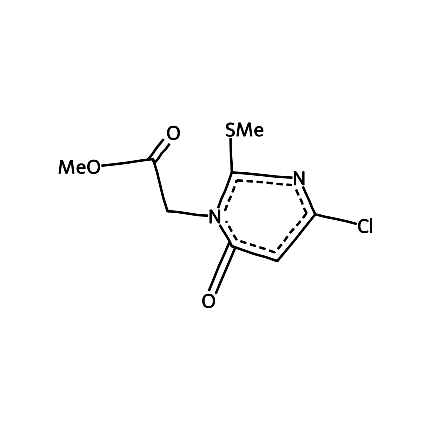 COC(=O)Cn1c(SC)nc(Cl)cc1=O